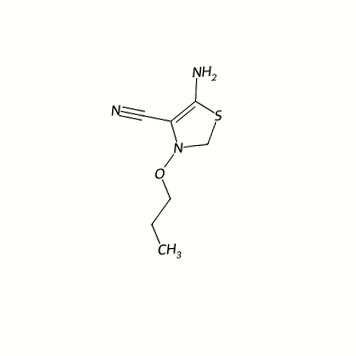 CCCON1CSC(N)=C1C#N